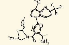 COC[C@@H]1C[C@@H](OC)CN1C(=O)c1nc(-c2ccc(OC)c3nc(C(F)(F)F)ccc23)oc1[C@H](C)N